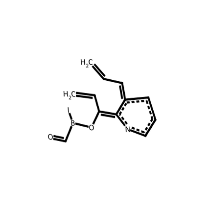 C=C/C=c1/cccn/c1=C(/C=C)OB(I)C=O